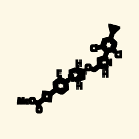 COC(=O)C1CC(c2ccc(N3C[C@@H]4C[C@H]3C[C@H]4OCc3cc(-c4c(Cl)cc(C5CC5)cc4Cl)n[nH]3)c(F)c2)C1